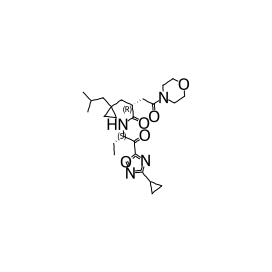 CC[C@H](NC(=O)[C@@H](CC(=O)N1CCOCC1)CC1(CC(C)C)CC1)C(=O)c1nc(C2CC2)no1